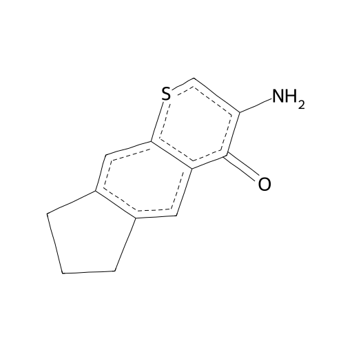 Nc1csc2cc3c(cc2c1=O)CCC3